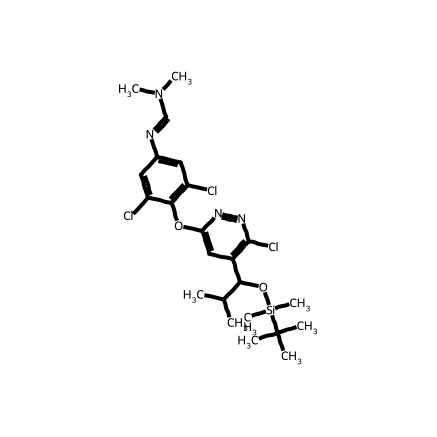 CC(C)C(O[Si](C)(C)C(C)(C)C)c1cc(Oc2c(Cl)cc(N=CN(C)C)cc2Cl)nnc1Cl